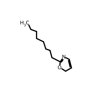 CCCCCCCCC1=NC=CCO1